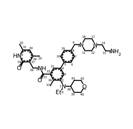 CCN(c1cc(-c2ccc(CN3CCN(CCN)CC3)cc2)cc(C(=O)NCc2c(C)cc(C)[nH]c2=O)c1C)C1CCOCC1